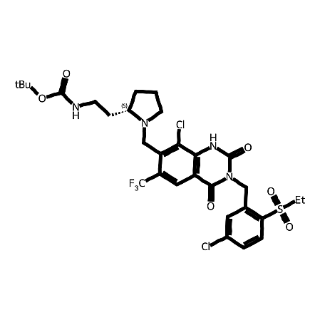 CCS(=O)(=O)c1ccc(Cl)cc1Cn1c(=O)[nH]c2c(Cl)c(CN3CCC[C@H]3CCNC(=O)OC(C)(C)C)c(C(F)(F)F)cc2c1=O